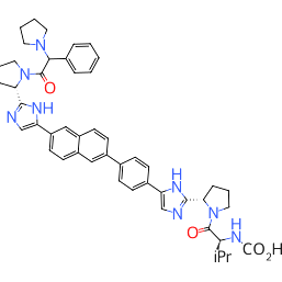 CC(C)[C@H](NC(=O)O)C(=O)N1CCC[C@H]1c1ncc(-c2ccc(-c3ccc4cc(-c5cnc([C@@H]6CCCN6C(=O)C(c6ccccc6)N6CCCC6)[nH]5)ccc4c3)cc2)[nH]1